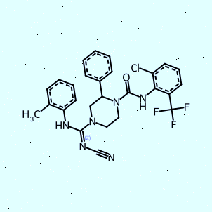 Cc1ccccc1N/C(=N/C#N)N1CCN(C(=O)Nc2c(Cl)cccc2C(F)(F)F)C(c2ccccc2)C1